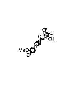 COc1cc(N2CC3CC2CN3C(=O)Cn2nc(C(F)(F)F)c(Cl)c2C)ccc1Cl